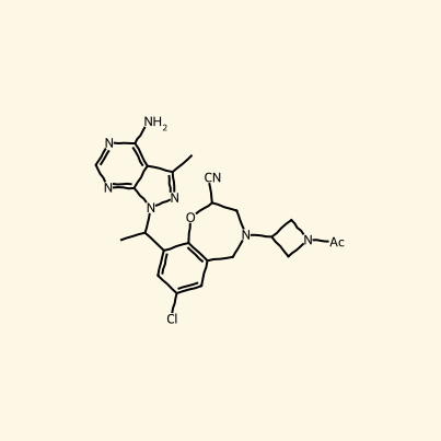 CC(=O)N1CC(N2Cc3cc(Cl)cc(C(C)n4nc(C)c5c(N)ncnc54)c3OC(C#N)C2)C1